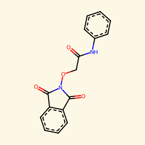 O=C(CON1C(=O)c2ccccc2C1=O)Nc1ccccc1